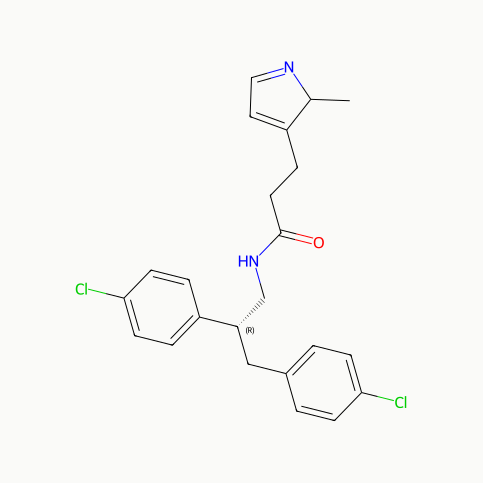 CC1N=CC=C1CCC(=O)NC[C@H](Cc1ccc(Cl)cc1)c1ccc(Cl)cc1